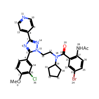 COc1ccc(-c2nc(-c3ccncc3)nn2CCN(C(=O)c2cc(Br)ccc2NC(C)=O)C2CCCC2)cc1Cl